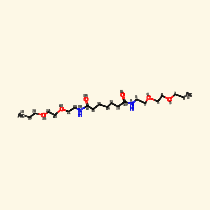 CC(=O)CCOCCOCCNC(=O)CCCCCC(=O)NCCOCCOCCC(C)=O